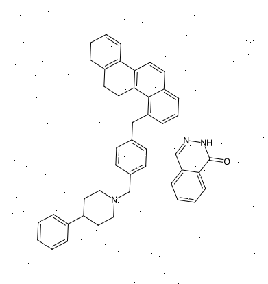 C1=CC2=C(CC1)CCc1c2ccc2cccc(Cc3ccc(CN4CCC(c5ccccc5)CC4)cc3)c12.O=c1[nH]ncc2ccccc12